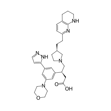 O=C(O)C[C@H](CN1CC[C@@H](CCc2ccc3c(n2)NCCC3)C1)c1cc(-c2ccn[nH]2)cc(N2CCOCC2)c1